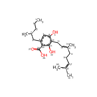 CCCC(C)Cc1cc(O)c(C/C=C(\C)CCC=C(C)C)c(O)c1C(=O)O